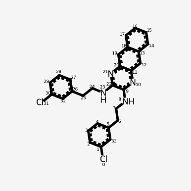 Clc1cccc(CCNc2nc3cc4ccccc4cc3nc2NCCc2cccc(Cl)c2)c1